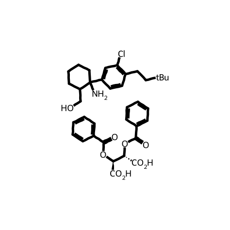 CC(C)(C)CCc1ccc(C2(N)CCCCC2CO)cc1Cl.O=C(O[C@H](C(=O)O)[C@H](OC(=O)c1ccccc1)C(=O)O)c1ccccc1